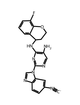 [C-]#[N+]c1ccc2ncn(-c3ncc(N)c(NC4CCOc5c(F)cccc54)n3)c2c1